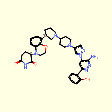 Nc1nnc(-c2ccccc2O)cc1-n1cc(N2CCC(N3CCC[C@H](c4cccc5c4OCCN5[C@@H]4CCC(=O)NC4=O)C3)CC2)cn1